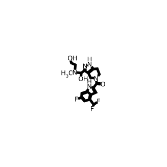 CN(CCO)C(O)c1n[nH]c2c1CN(C(=O)c1cc3c(C(F)F)cc(F)cc3[nH]1)CC2